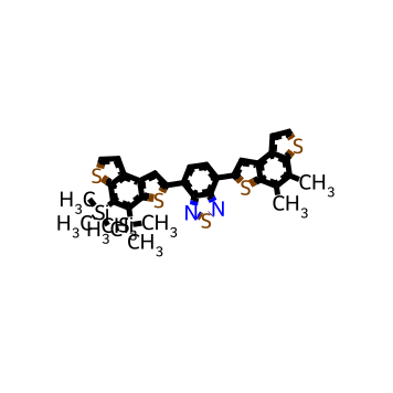 Cc1c(C)c2sc(-c3ccc(-c4cc5c(s4)c([Si](C)(C)C)c([Si](C)(C)C)c4sccc45)c4nsnc34)cc2c2ccsc12